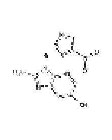 Cc1nc2cc(S)cnc2n1Br.O=[N+]([O-])c1cncs1